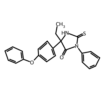 CCC1(c2ccc(Oc3ccccc3)cc2)NC(=S)N(c2ccccc2)C1=O